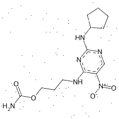 NC(=O)OCCCNc1nc(NC2CCCC2)ncc1[N+](=O)[O-]